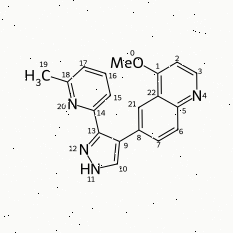 COc1ccnc2ccc(-c3c[nH]nc3-c3cccc(C)n3)cc12